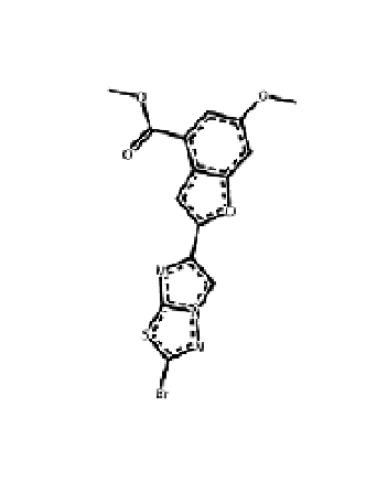 COC(=O)c1cc(OC)cc2oc(-c3cn4nc(Br)sc4n3)cc12